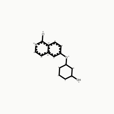 OC1CCCC(Oc2ccc3c(Cl)nccc3c2)C1